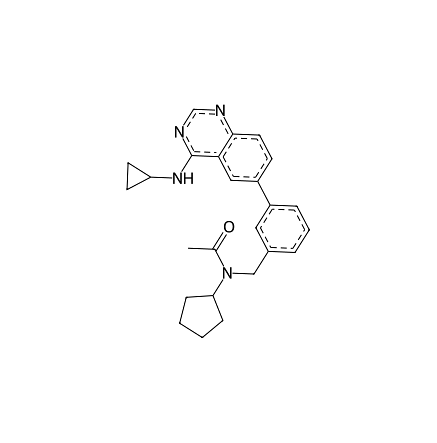 CC(=O)N(Cc1cccc(-c2ccc3ncnc(NC4CC4)c3c2)c1)C1CCCC1